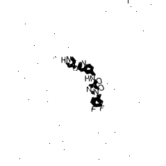 O=C(NCc1ccc2ncc(OC3CCNCC3)cc2c1)c1cncn(Cc2ccc(F)c(F)c2)c1=O